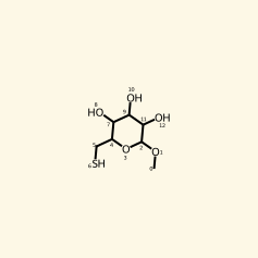 COC1OC(CS)C(O)C(O)C1O